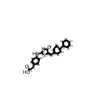 O=C(O)Cc1ccc(NC2=NC(=O)/C(=C\c3ccc(-c4ccccc4)cc3)S2)cc1